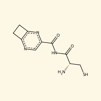 N[C@@H](CS)C(=O)NC(=O)c1cnc2c(n1)CC2